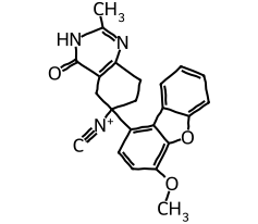 [C-]#[N+]C1(c2ccc(OC)c3oc4ccccc4c23)CCc2nc(C)[nH]c(=O)c2C1